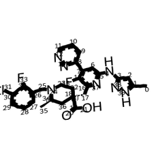 Cc1cc(Nc2cc(-c3cccnn3)c(F)c(C[C@@]3(C(=O)O)CCN(Cc4cccc(Cl)c4F)[C@H](C)C3)n2)n[nH]1